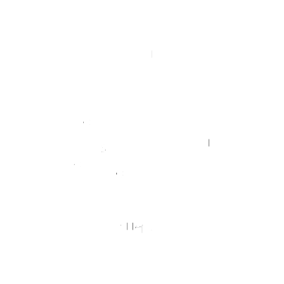 CCCCCCCCOS(=O)(=O)c1cc(I)cc(I)c1